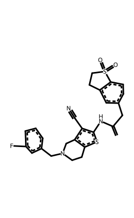 C=C(Cc1ccc2c(c1)CCS2(=O)=O)Nc1sc2c(c1C#N)CN(Cc1cccc(F)c1)CC2